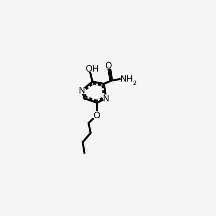 CCCCOc1cnc(O)c(C(N)=O)n1